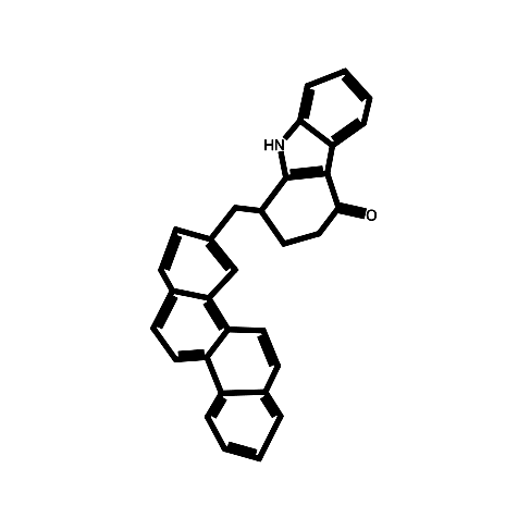 O=C1CCC(Cc2ccc3ccc4c5ccccc5ccc4c3c2)c2[nH]c3ccccc3c21